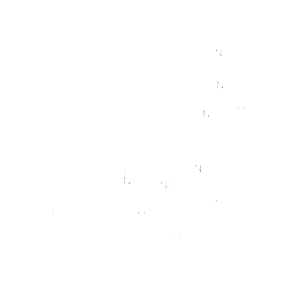 COC(C)(C)C(NC(=O)Nc1ccc(Cl)cc1)C(=O)N1CCC(N2Cc3cnc(C)n3C2=O)CC1